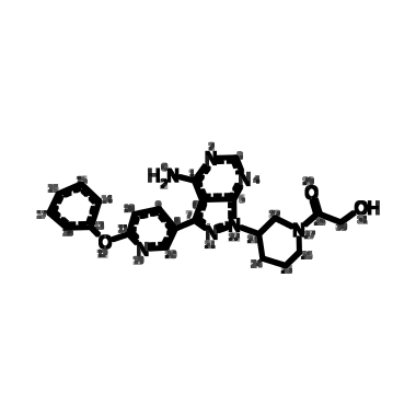 Nc1ncnc2c1c(-c1ccc(Oc3ccccc3)nc1)nn2C1CCCN(C(=O)CO)C1